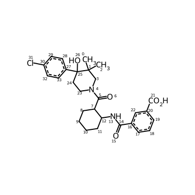 CC1(C)CN(C(=O)C2CCCCC2NC(=O)c2cccc(C(=O)O)c2)CCC1(O)c1ccc(Cl)cc1